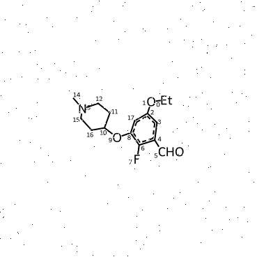 CCOc1cc(C=O)c(F)c(OC2CCN(C)CC2)c1